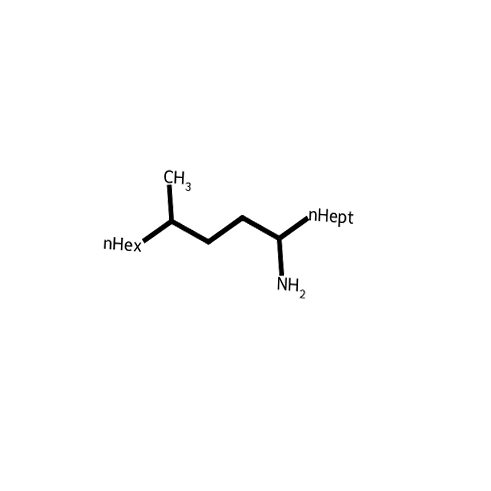 CCCCCCCC(N)CCC(C)CCCCCC